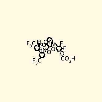 CC12CCCN1N(Cc1ccc(OCC(=O)O)c(F)c1F)C(=O)C(C(=O)Nc1ccc(C(F)(F)F)cc1-c1ccc(C(F)(F)F)nc1)=C2O